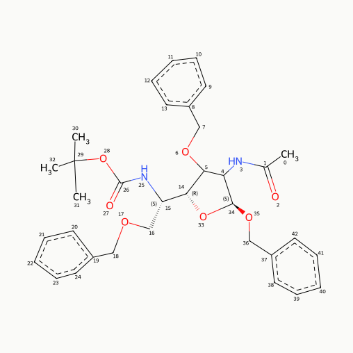 CC(=O)NC1C(OCc2ccccc2)[C@@H]([C@H](COCc2ccccc2)NC(=O)OC(C)(C)C)O[C@@H]1OCc1ccccc1